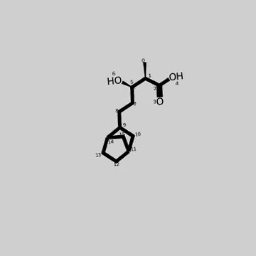 C[C@@H](C(=O)O)[C@H](O)CCC1CC2CCC1C2